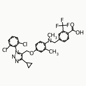 Cc1cc(OCc2c(C3CC3)nnn2-c2c(Cl)cccc2Cl)ccc1N(C)Cc1ccc(C(=O)O)c(C(F)(F)F)c1